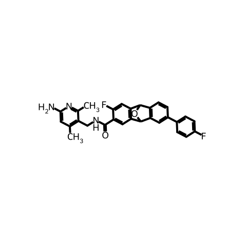 Cc1cc(N)nc(C)c1CNC(=O)c1cc2c(cc1F)C1OC2c2cc(-c3ccc(F)cc3)ccc21